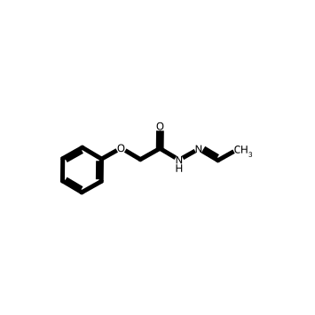 C/C=N/NC(=O)COc1ccccc1